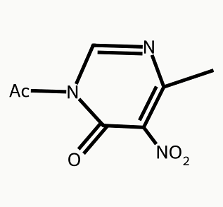 CC(=O)n1cnc(C)c([N+](=O)[O-])c1=O